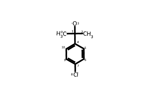 CC(C)([O])c1ccc(Cl)cc1